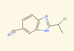 CC(Cl)c1nc2ccc(C#N)cc2[nH]1